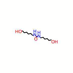 O=C(NCCCCCCO)NCCCCCCO